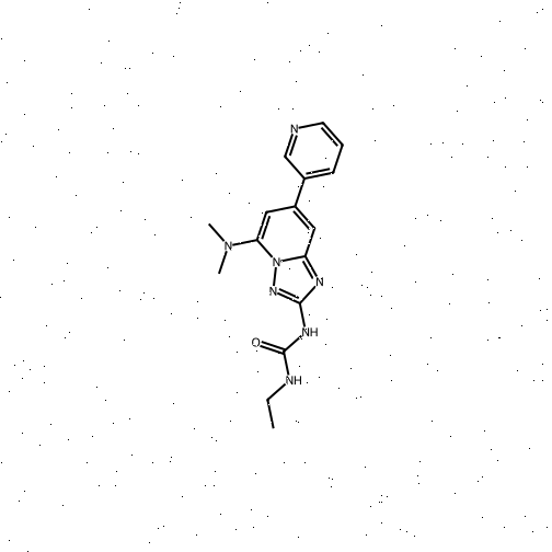 CCNC(=O)Nc1nc2cc(-c3cccnc3)cc(N(C)C)n2n1